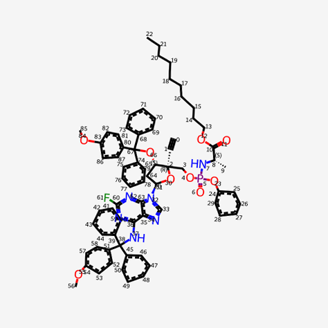 C#C[C@]1(COP(=O)(N[C@@H](C)C(=O)OCCCCCCCCCC)Oc2ccccc2)O[C@@H](n2cnc3c(NC(c4ccccc4)(c4ccccc4)c4ccc(OC)cc4)nc(F)nc32)C[C@@H]1OC(c1ccccc1)(c1ccccc1)c1ccc(OC)cc1